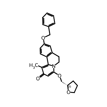 Cc1c2n(c(OC[C@@H]3CCCO3)cc1=O)CCc1cc(OCc3ccccc3)ccc1-2